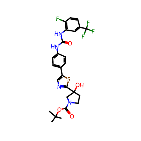 CC(C)(C)OC(=O)N1CCC(O)(c2ncc(-c3ccc(NC(=O)Nc4cc(C(F)(F)F)ccc4F)cc3)s2)C1